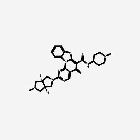 CN1CCC(NC(=O)c2c(=O)c3cnc(N4C[C@@H]5CN(C)C[C@H]5C4)nc3n3c2sc2ccccc23)CC1